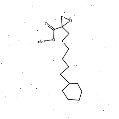 CCCCOC(=O)C1(CCCCCCC2CCCCC2)CO1